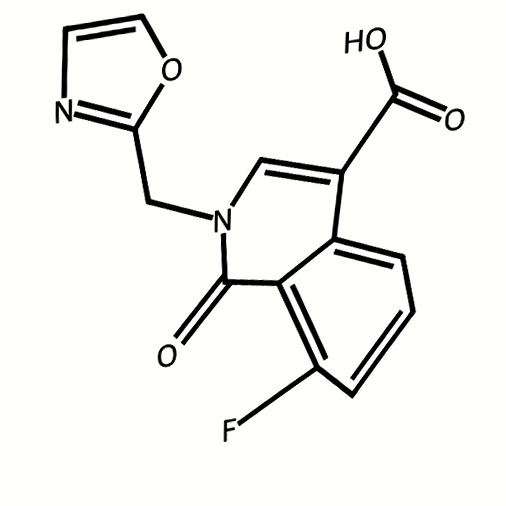 O=C(O)c1cn(Cc2ncco2)c(=O)c2c(F)cccc12